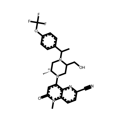 CC(c1ccc(OC(F)(F)F)cc1)N1C[C@@H](C)N(c2cc(=O)n(C)c3ccc(C#N)nc23)CC1CO